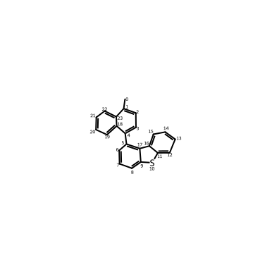 Cc1ccc(-c2cccc3sc4ccccc4c23)c2ccccc12